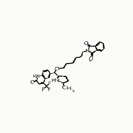 C[C@@H]1CC[C@H](C(OCCCCCCN2C(=O)c3ccccc3C2=O)c2ccc3[nH]c(=O)cc(C(F)(F)F)c3c2)N1